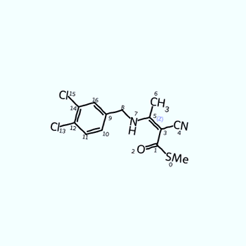 CSC(=O)/C(C#N)=C(/C)NCc1ccc(Cl)c(Cl)c1